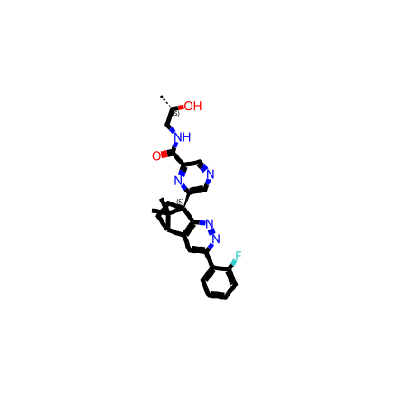 C[C@H](O)CNC(=O)c1cncc([C@@]23CCC(c4cc(-c5ccccc5F)nnc42)C3(C)C)n1